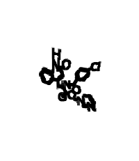 O=C(NC(Cc1cc(=O)[nH]c2ccccc12)C(=O)OCN1C=NC=CC1)c1ccc(Cl)cc1